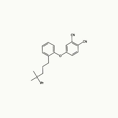 CC(C)S(C)(C)CCCc1ccccc1Oc1ccc(C#N)c(C#N)c1